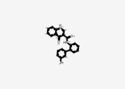 CC(C)c1cccc(-c2ccccc2NC(=O)c2c[nH]c3ccccc3c2=O)c1